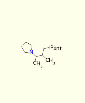 CCCC(C)CC(C)C(C)N1CCCC1